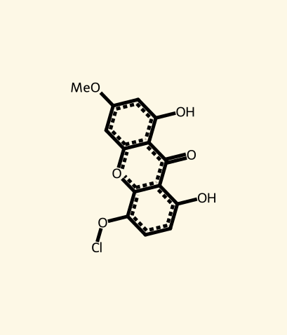 COc1cc(O)c2c(=O)c3c(O)ccc(OCl)c3oc2c1